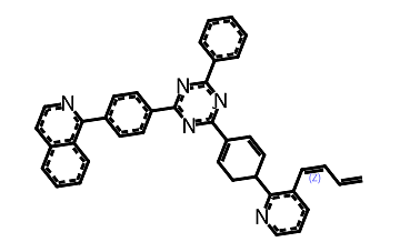 C=C/C=C\c1cccnc1C1C=CC(c2nc(-c3ccccc3)nc(-c3ccc(-c4nccc5ccccc45)cc3)n2)=CC1